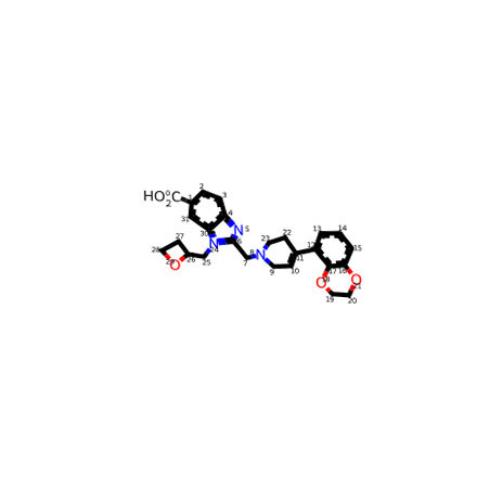 O=C(O)c1ccc2nc(CN3CC=C(c4cccc5c4OCCO5)CC3)n(CC3CCO3)c2c1